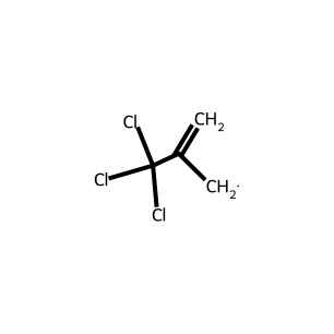 [CH2]C(=C)C(Cl)(Cl)Cl